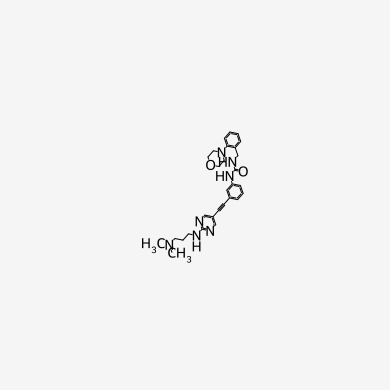 CN(C)CCCNc1ncc(C#Cc2cccc(NC(=O)NCc3ccccc3N3CCOCC3)c2)cn1